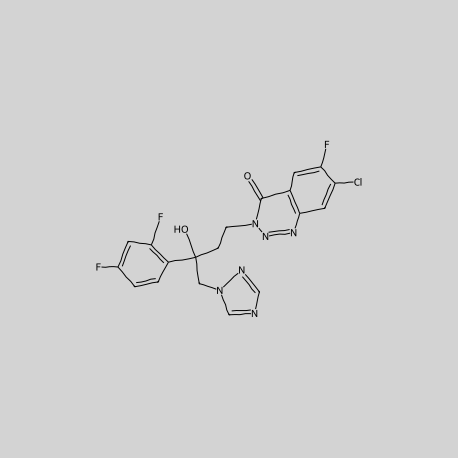 O=c1c2cc(F)c(Cl)cc2nnn1CCC(O)(Cn1cncn1)c1ccc(F)cc1F